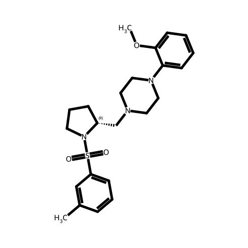 COc1ccccc1N1CCN(C[C@H]2CCCN2S(=O)(=O)c2cccc(C)c2)CC1